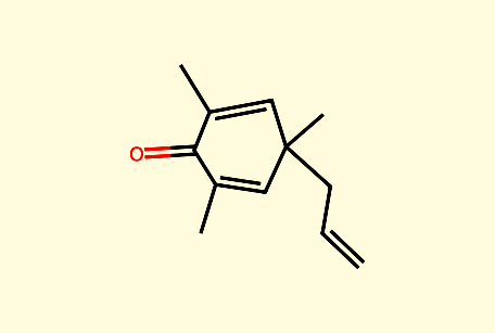 C=CCC1(C)C=C(C)C(=O)C(C)=C1